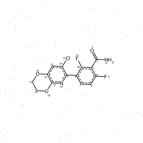 NC(=O)c1c(F)ccc(-c2nc3c(cc2Cl)OCCO3)c1F